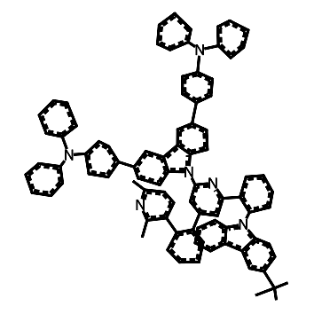 Cc1ccc(-c2ccccc2-c2cc(-c3ccccc3-n3c4ccccc4c4cc(C(C)(C)C)ccc43)nc(-n3c4ccc(-c5ccc(N(c6ccccc6)c6ccccc6)cc5)cc4c4cc(-c5ccc(N(c6ccccc6)c6ccccc6)cc5)ccc43)c2)c(C)n1